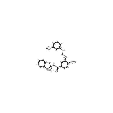 COc1ccc(C(=O)NC2(C(=O)O)Cc3ccccc3C2)cc1NCCc1cccc(C)c1